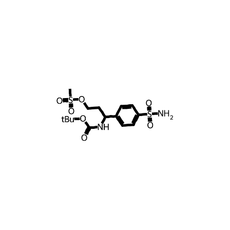 CC(C)(C)OC(=O)NC(CCOS(C)(=O)=O)c1ccc(S(N)(=O)=O)cc1